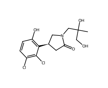 CC(O)(CO)CN1C[C@H](c2c(O)ccc(Cl)c2Cl)CC1=O